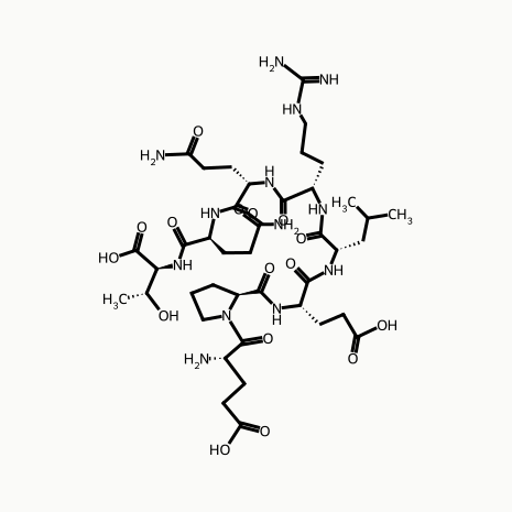 CC(C)C[C@H](NC(=O)[C@H](CCC(=O)O)NC(=O)[C@@H]1CCCN1C(=O)[C@@H](N)CCC(=O)O)C(=O)N[C@@H](CCCNC(=N)N)C(=O)N[C@@H](CCC(N)=O)C(=O)N[C@@H](CCC(N)=O)C(=O)N[C@H](C(=O)O)[C@@H](C)O